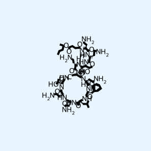 CCCC(C)OC(=O)CCC(=O)N[C@@H](CCN)C(=O)N[C@@H](CCN)C(=O)N[C@H](C(=O)N[C@@H](CCN)C(=O)N[C@H]1CCNC(=O)[C@H](C(C)O)NC(=O)[C@H](CCN)NC(=O)[C@H](CCN)NC(=O)[C@H](CC(C)C)NC(=O)[C@@H](Cc2ccccc2)NC(=O)[C@H](CCN)NC1=O)C(C)O